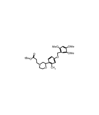 COc1cc(OC)c(OC)cc1COc1ccc(C2CN(CCC(=O)OC(C)(C)C)CCO2)c(C)c1